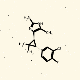 Cc1[nH]c(N)nc1[C@H]1[C@H](c2ccc(F)c(Cl)c2)C1(C)C